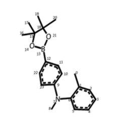 Cc1ccccc1N(C)c1ccc(B2OC(C)(C)C(C)(C)O2)cc1